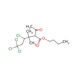 CCCCOC(=O)C(C(C)=O)C(C)(C)C(Cl)CC(Cl)(Cl)Cl